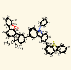 CC1(C)c2ccc(-c3ccc4c(c3)c3cc(-c5cccc6c5sc5ccccc56)ccc3n4-c3ccccc3)cc2-c2c1ccc1c2oc2ccccc21